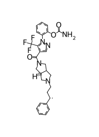 NC(=O)Oc1ccccc1-n1ncc(C(=O)N2CC3CN(CC[CH]c4ccccc4)C[C@H]3C2)c1C(F)(F)F